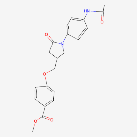 COC(=O)c1ccc(OCC2CC(=O)N(c3ccc(NC(C)=O)cc3)C2)cc1